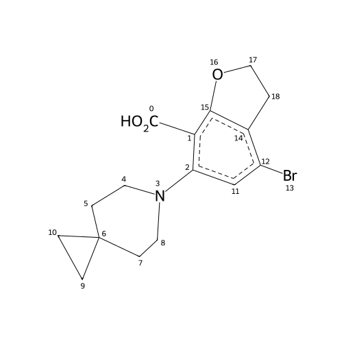 O=C(O)c1c(N2CCC3(CC2)CC3)cc(Br)c2c1OCC2